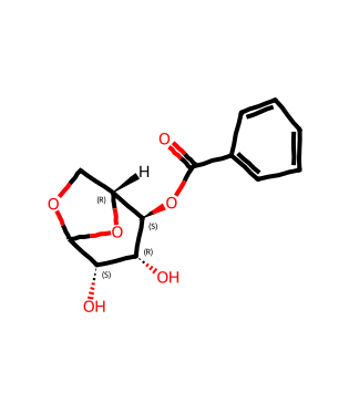 O=C(O[C@H]1[C@H](O)[C@H](O)C2OC[C@H]1O2)c1ccccc1